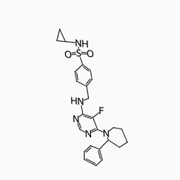 O=S(=O)(NC1CC1)c1ccc(CNc2ncnc(N3CCCCC3c3ccccc3)c2F)cc1